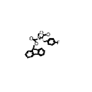 O=C1OCN(C(=O)OCC2c3ccccc3-c3ccccc32)[C@H]1Cc1ccc(F)cc1